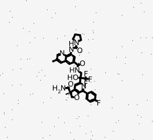 Cc1cnc2c(NC(=O)N3CCCC3)cc(C(=O)NCC(O)(c3cc4c(c(-c5ccc(F)cc5)n3)OC[C@]4(C)C(N)=O)C(F)(F)F)cc2c1